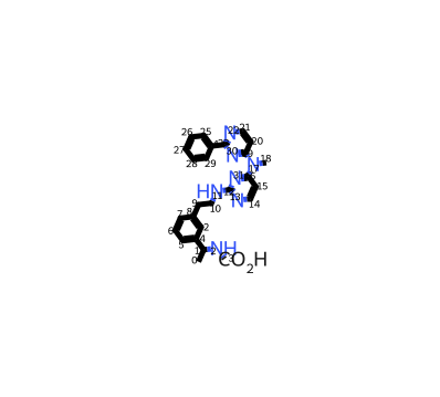 CC(NC(=O)O)c1cccc(CCNc2nccc(N(C)c3ccnc(-c4ccccc4)n3)n2)c1